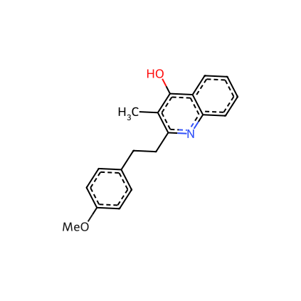 COc1ccc(CCc2nc3ccccc3c(O)c2C)cc1